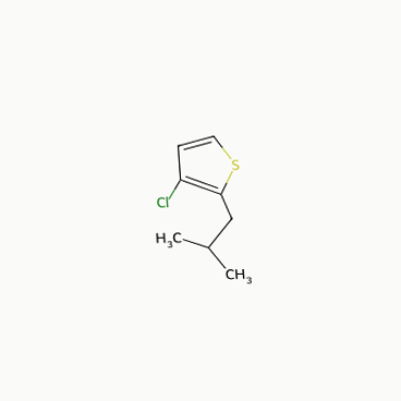 CC(C)Cc1sccc1Cl